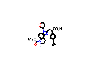 COC(=O)N1c2ccc3c(nc(C[C@H](C(=O)O)c4ccc(C5CC5)cc4)n3[C@H]3CCCOC3)c2CC[C@@H]1C